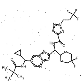 CC(C)(C)C(=O)NC(c1cnn2cc([C@@H](NC(=O)c3cnn(CCC(F)(F)F)n3)C3CCC(F)(F)CC3)nc2c1)C1CC1